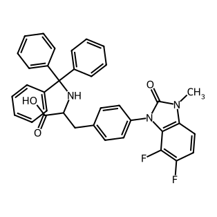 Cn1c(=O)n(-c2ccc(CC(NC(c3ccccc3)(c3ccccc3)c3ccccc3)C(=O)O)cc2)c2c(F)c(F)ccc21